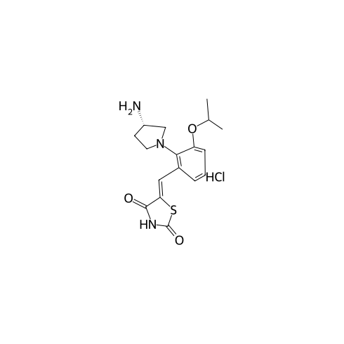 CC(C)Oc1cccc(/C=C2\SC(=O)NC2=O)c1N1CC[C@H](N)C1.Cl